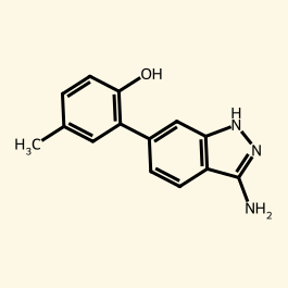 Cc1ccc(O)c(-c2ccc3c(N)n[nH]c3c2)c1